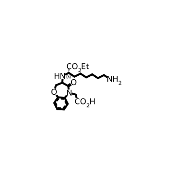 CCOC(=O)[C@H](CCCCCCN)NC1COc2ccccc2N(CC(=O)O)C1=O